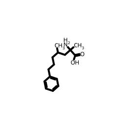 CC(CCCc1ccccc1)CC(C)(N)C(=O)O